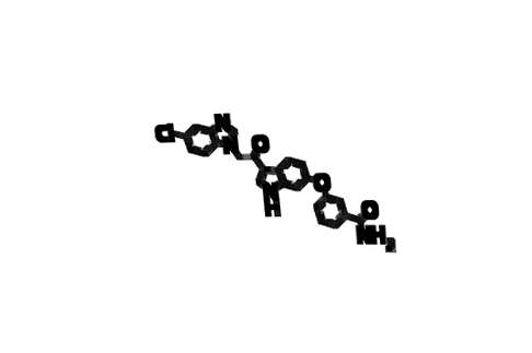 NC(=O)c1cccc(Oc2ccc3c(C(=O)Cn4cnc5cc(Cl)ccc54)c[nH]c3c2)c1